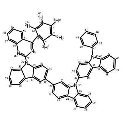 [2H]c1c([2H])c([2H])c(-c2nc(-n3c4ccccc4c4cc(-c5ccc6c7ccccc7n(-c7ccc8c(c7)c7ccccc7n8-c7ccccc7)c6c5)ccc43)nc3ccccc23)c([2H])c1[2H]